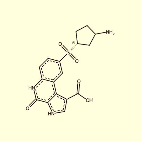 NC1CC[C@@H](S(=O)(=O)c2ccc3[nH]c(=O)c4[nH]cc(C(=O)O)c4c3c2)C1